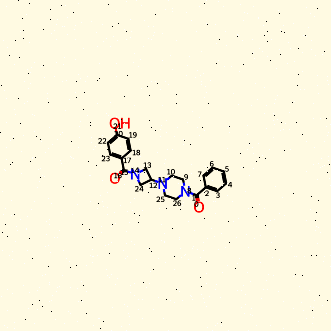 O=C(c1ccccc1)N1CCN(C2CN(C(=O)c3ccc(O)cc3)C2)CC1